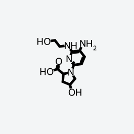 Nc1ccc(N2CC(O)CC2C(=O)O)nc1NCCO